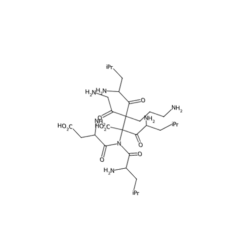 CC(C)CC(N)C(=O)N(C(=O)C(N)CC(=O)O)C(C(=O)O)(C(=O)C(N)CC(C)C)C(CCCN)(C(=O)CN)C(=O)C(N)CC(C)C